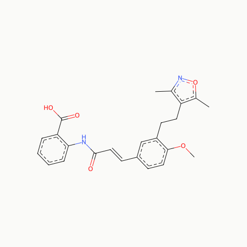 COc1ccc(/C=C/C(=O)Nc2ccccc2C(=O)O)cc1CCc1c(C)noc1C